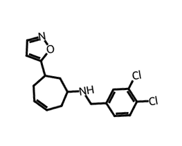 Clc1ccc(CNC2CC=CCC(c3ccno3)C2)cc1Cl